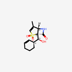 CC1=CS(=O)(=O)[C@@]2([C@@H](O)[C@@H]3C=CCCC3)C(=O)N[C@@H]12